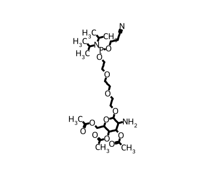 CC(=O)OCC1OC(OCCOCCOCCOP(OCCC#N)N(C(C)C)C(C)C)C(N)C(OC(C)=O)C1OC(C)=O